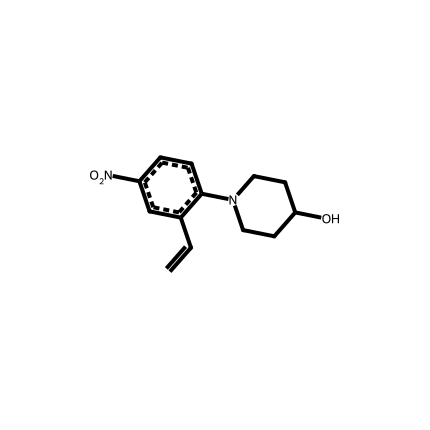 C=Cc1cc([N+](=O)[O-])ccc1N1CCC(O)CC1